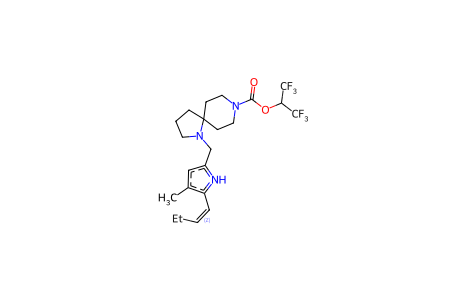 CC/C=C\c1[nH]c(CN2CCCC23CCN(C(=O)OC(C(F)(F)F)C(F)(F)F)CC3)cc1C